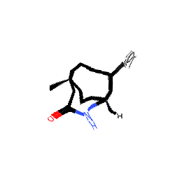 CC(C)C1C[C@]2(C)C[C@H]1NC2=O